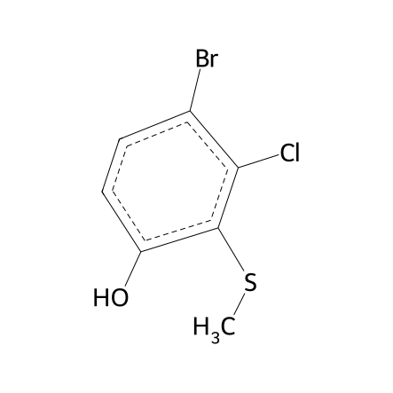 CSc1c(O)ccc(Br)c1Cl